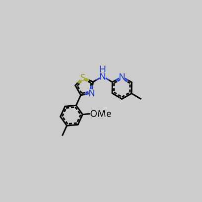 COc1cc(C)ccc1-c1csc(Nc2ccc(C)cn2)n1